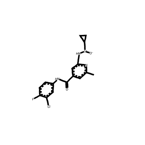 Cc1cc(C(=O)Nc2ccc(F)c(Cl)c2)cc(N[S+]([O-])C2CC2)n1